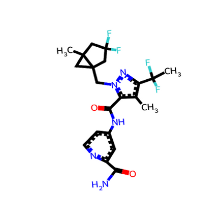 Cc1c(C(C)(F)F)nn(CC23CC(F)(F)CC2(C)C3)c1C(=O)Nc1ccnc(C(N)=O)c1